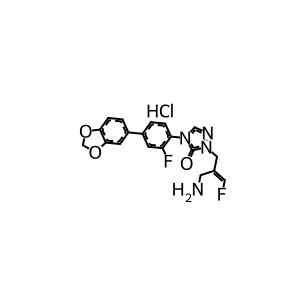 Cl.NC/C(=C\F)Cn1ncn(-c2ccc(-c3ccc4c(c3)OCO4)cc2F)c1=O